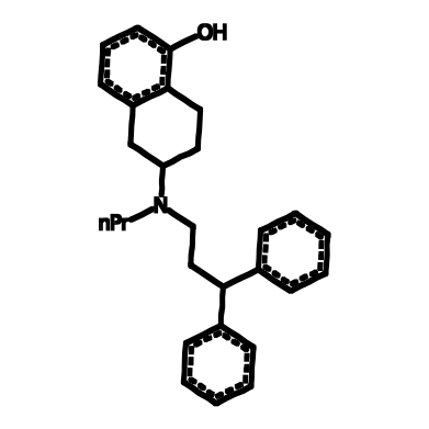 CCCN(CCC(c1ccccc1)c1ccccc1)C1CCc2c(O)cccc2C1